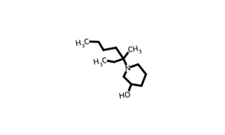 CCCCC(C)(CC)N1CCCC(O)C1